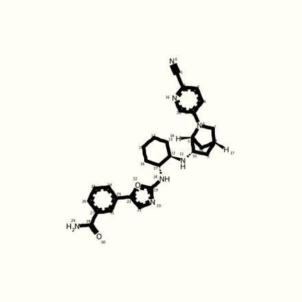 N#Cc1ccc(N2C[C@@H]3C[C@H](N[C@@H]4CCCC[C@H]4Nc4ncc(-c5cccc(C(N)=O)c5)o4)[C@H]2C3)cn1